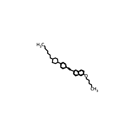 CCCCCCCC1CCC(c2ccc(C#Cc3ccc4cc(OCCCCC)ccc4c3)cc2)CC1